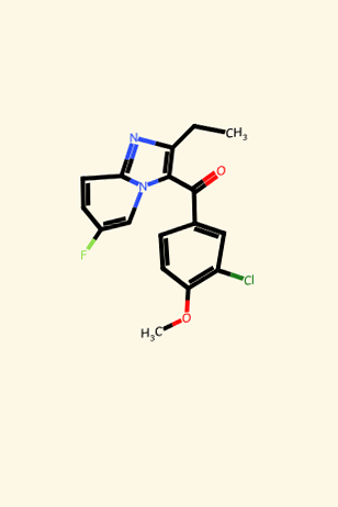 CCc1nc2ccc(F)cn2c1C(=O)c1ccc(OC)c(Cl)c1